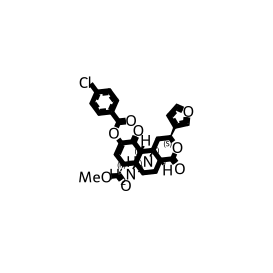 COC(=O)[C@@H]1C=C(OC(=O)c2ccc(Cl)cc2)C(=O)[C@H]2[C@@]1(N)CC[C@H]1C(=O)O[C@H](c3ccoc3)C[C@]21N